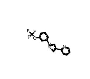 FC(F)(F)Oc1cccc(-n2cc(-c3ccccn3)cn2)c1